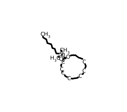 CCCCCCCC[Si](C)(C)OP1(=O)CCCCCCCCCCCCCCCCCO1